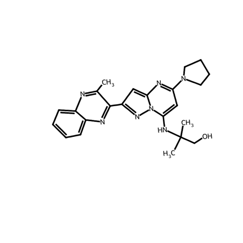 Cc1nc2ccccc2nc1-c1cc2nc(N3CCCC3)cc(NC(C)(C)CO)n2n1